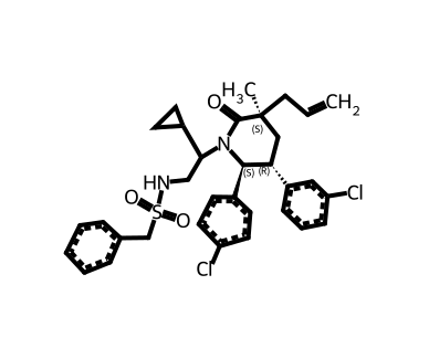 C=CC[C@@]1(C)C[C@H](c2cccc(Cl)c2)[C@@H](c2ccc(Cl)cc2)N(C(CNS(=O)(=O)Cc2ccccc2)C2CC2)C1=O